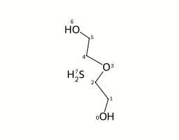 OCCOCCO.S